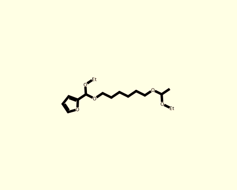 CCOC(C)OCCCCCCOC(OCC)c1ccco1